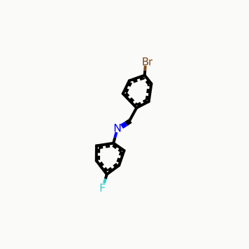 Fc1ccc(/N=C/c2ccc(Br)cc2)cc1